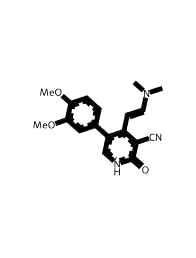 COc1ccc(-c2c[nH]c(=O)c(C#N)c2C=CN(C)C)cc1OC